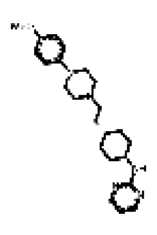 COc1ccc(N2CCN(CC[C@H]3CC[C@H](Nc4ncccn4)CC3)CC2)cc1